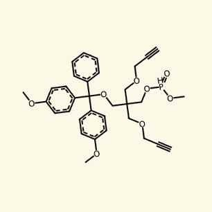 C#CCOCC(COCC#C)(CO[PH](=O)OC)COC(c1ccccc1)(c1ccc(OC)cc1)c1ccc(OC)cc1